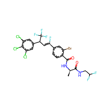 C[C@@H](NC(=O)c1ccc(/C(F)=C/C(c2cc(Cl)c(Cl)c(Cl)c2)C(F)(F)F)cc1Br)C(=O)NCC(F)F